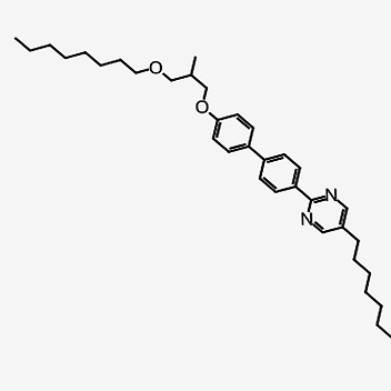 CCCCCCCCOCC(C)COc1ccc(-c2ccc(-c3ncc(CCCCCCC)cn3)cc2)cc1